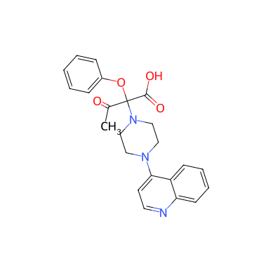 CC(=O)C(Oc1ccccc1)(C(=O)O)N1CCN(c2ccnc3ccccc23)CC1